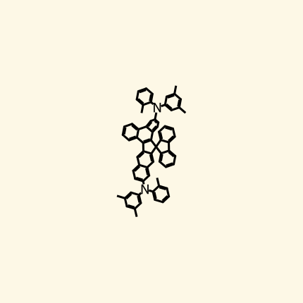 Cc1cc(C)cc(N(c2ccc3cc4c(cc3c2)C2(c3ccccc3-c3ccccc32)c2c-4c3ccccc3c3cc(N(c4cc(C)cc(C)c4)c4ccccc4C)ccc23)c2ccccc2C)c1